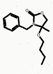 CCCCOC1(C)COC(=O)N1Cc1ccccc1